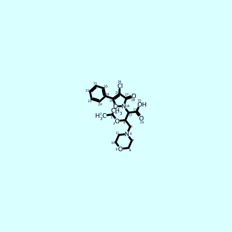 CC(C)OC(CN1CCOCC1)C(C(=O)O)n1oc(-c2ccccc2)c(Cl)c1=O